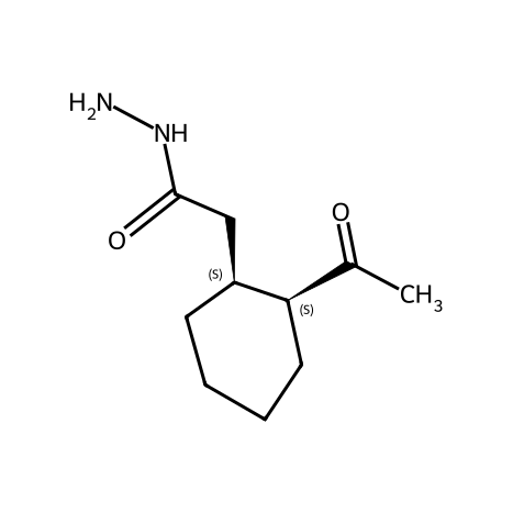 CC(=O)[C@H]1CCCC[C@H]1CC(=O)NN